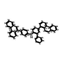 c1ccc(-c2cc(-c3cccc4c3ccc3ccccc34)ccc2Nc2ccc(-c3cc4ccccc4c4ccccc34)cc2)cc1